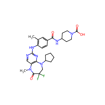 Cc1cc(C(=O)NC2CCN(C(=O)O)CC2)ccc1Nc1ncc2c(n1)N(C1CCCC1)CC(F)(F)C(=O)N2C